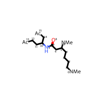 CNCCCCC(CC(=O)NC(CCC(C)=O)CC(C)=O)NC